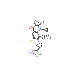 COc1c(N2CCC(=C(Cl)CN)C2)c(F)cc2c(=O)c(C(=O)O)cn(C3CC3)c12